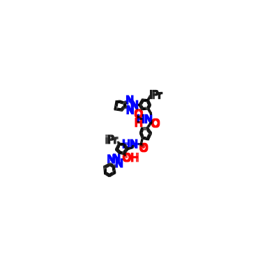 CC(C)c1cc(CNC(=O)c2ccc(C(=O)NCc3cc(C(C)C)cc(-n4nc5ccccc5n4)c3O)cc2)c(O)c(-n2nc3ccccc3n2)c1